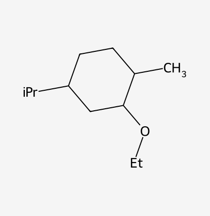 CCOC1CC(C(C)C)CCC1C